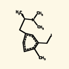 Cc1ccc(C[C@@H](C)N(C)C)cc1CI